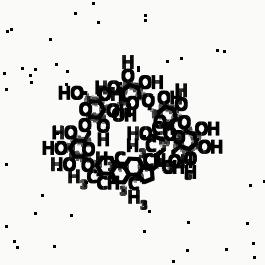 C[C@H](CC[C@@H](O[C@@H]1O[C@H](CO[C@@H]2O[C@H](CO)[C@@H](O)[C@H](O)[C@H]2O)[C@@H](O)[C@H](O)[C@H]1O[C@@H]1O[C@H](CO)[C@@H](O)[C@H](O)[C@H]1O)C(C)(C)O)C1CC[C@@]2(C)C3CC=C4C(CC[C@H](O[C@@H]5O[C@H](CO[C@@H]6O[C@H](CO)[C@@H](O)[C@H](O)[C@H]6O)[C@@H](O)[C@H](O)[C@H]5O)C4(C)C)[C@]3(C)CC[C@]12C